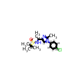 Cc1nc([C@H](C)N[S+]([O-])C(C)(C)C)cn1-c1ccc(Cl)cc1